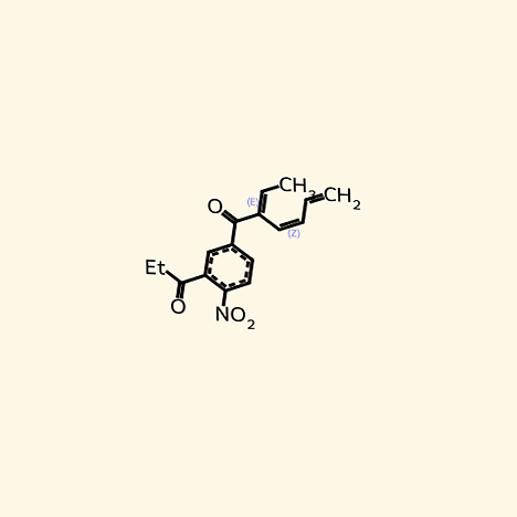 C=C/C=C\C(=C/C)C(=O)c1ccc([N+](=O)[O-])c(C(=O)CC)c1